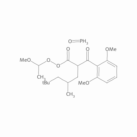 COc1cccc(OC)c1C(=O)C(CC(C)CC(C)(C)C)C(=O)OOC(C)OC.O=[PH3]